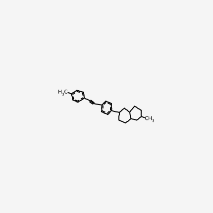 Cc1ccc(C#Cc2ccc(C3CCC4CC(C)CCC4C3)cc2)cc1